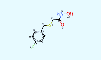 O=C(CSCc1ccc(F)cc1)NO